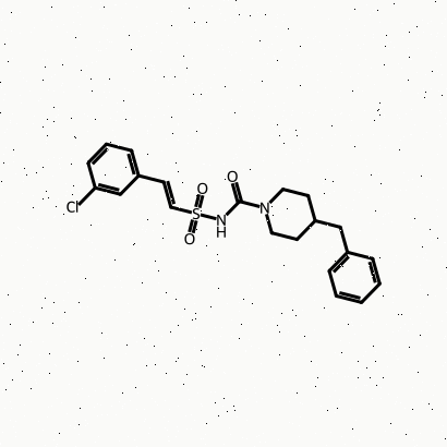 O=C(NS(=O)(=O)C=Cc1cccc(Cl)c1)N1CCC(Cc2ccccc2)CC1